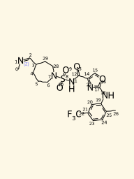 C/N=C\C1CCCN(S(=O)(=O)NC(=O)c2coc(Nc3cc(C(F)(F)F)ccc3C)n2)CC1